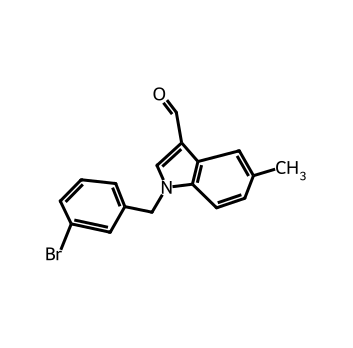 Cc1ccc2c(c1)c(C=O)cn2Cc1cccc(Br)c1